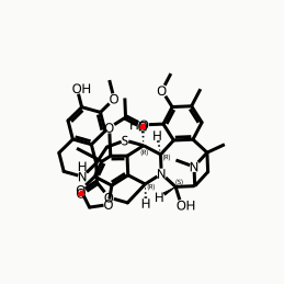 COc1cc2c(cc1O)CCNC21CS[C@@H]2c3c(OC(C)=O)c(C)c4c(c3[C@H](COC1=O)N1[C@@H]2c2c(cc(C)c(OC)c2O)C2(C)CC([C@@H]1O)N2C)OCO4